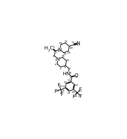 C=C(CN1CCC(CNC(=O)c2cc(C(F)(F)F)cc(C(F)(F)F)c2)CC1)N1CCC(C#N)CC1